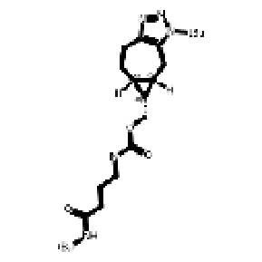 CC(C)(C)NC(=O)CCCNC(=O)OC[C@@H]1[C@@H]2CCc3nnn(C(C)(C)C)c3C[C@@H]21